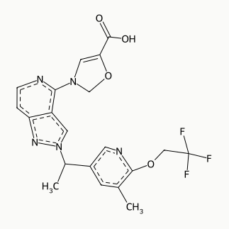 Cc1cc(C(C)n2cc3c(N4C=C(C(=O)O)OC4)nccc3n2)cnc1OCC(F)(F)F